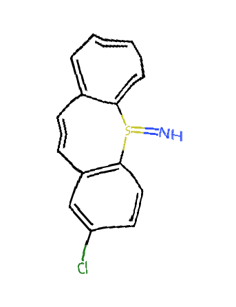 N=S1c2ccccc2C=Cc2cc(Cl)ccc21